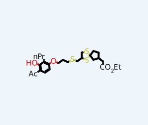 CCCc1c(OCCCSCC2CSC3(CCC(CC(=O)OCC)C3)S2)ccc(C(C)=O)c1O